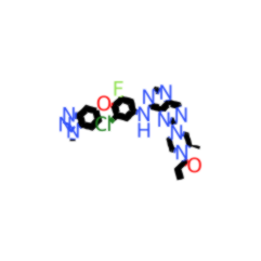 C=CC(=O)N1CCN(c2ncc3ncnc(Nc4cc(F)c(Oc5ccc6c(c5)nnn6C)c(Cl)c4)c3n2)C[C@H]1C